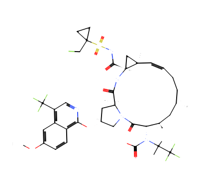 COc1ccc2c(O[C@@H]3C[C@H]4C(=O)N[C@]5(C(=O)NS(=O)(=O)C6(CF)CC6)C[C@H]5C=CCC[C@H](C)C[C@@H](C)[C@H](N(C(=O)O)C(C)(C)C(F)(F)F)C(=O)N4C3)ncc(C(F)(F)F)c2c1